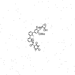 COc1cc(-c2cccc(-c3cccc(NC(=O)c4cn(C)c(=O)n(C)c4=O)c3C)c2C)cc(F)c1CN[C@H]1COC[C@@H]1O